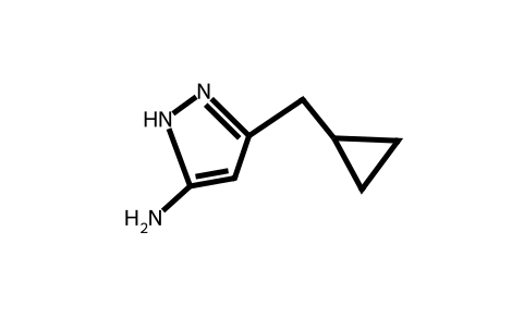 Nc1cc(CC2CC2)n[nH]1